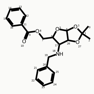 CC1(C)OC2OC(COC(=O)c3ccccc3)C(NCc3ccccc3)C2O1